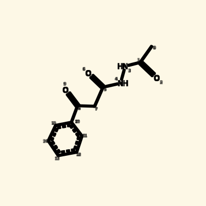 CC(=O)NNC(=O)CC(=O)c1ccccc1